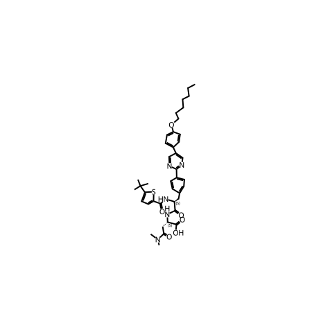 CCCCCCCOc1ccc(-c2cnc(-c3ccc(C[C@H](NC(=O)c4ccc(C(C)(C)C)s4)C(=O)N[C@@H](CC(=O)N(C)C)C(=O)O)cc3)nc2)cc1